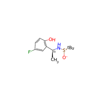 C[C@H](N[S+]([O-])C(C)(C)C)c1cc(F)ccc1O